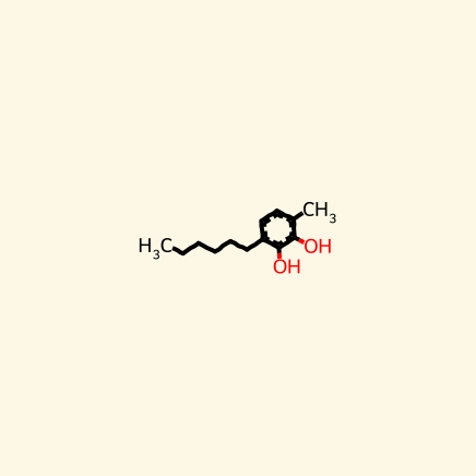 CCCCCCc1ccc(C)c(O)c1O